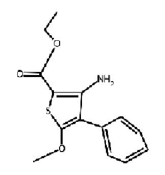 CCOC(=O)c1sc(OC)c(-c2ccccc2)c1N